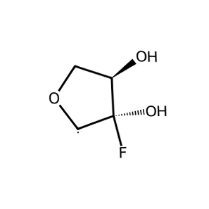 O[C@@H]1CO[CH][C@]1(O)F